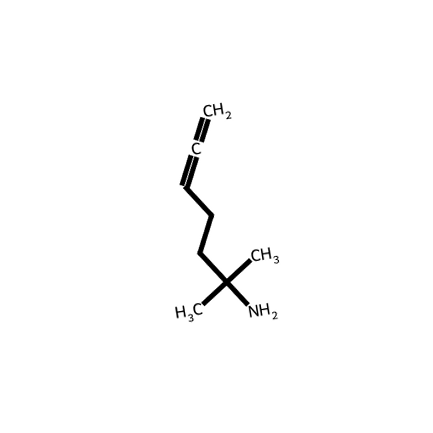 C=C=CCCC(C)(C)N